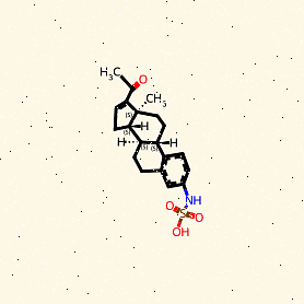 CC(=O)C1=CC[C@H]2[C@@H]3CCc4cc(NS(=O)(=O)O)ccc4[C@H]3CC[C@]12C